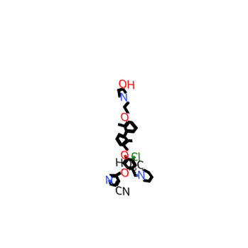 Cc1c(COc2cc(OCc3cncc(C#N)c3)c(CN3CCCCC3C(=O)O)cc2Cl)cccc1-c1cccc(OCCCN2CCC(O)C2)c1C